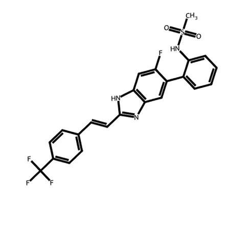 CS(=O)(=O)Nc1ccccc1-c1cc2nc(C=Cc3ccc(C(F)(F)F)cc3)[nH]c2cc1F